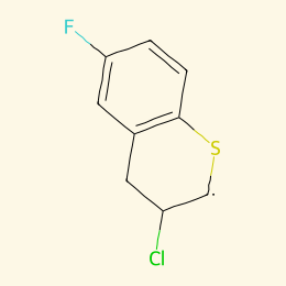 Fc1ccc2c(c1)CC(Cl)[CH]S2